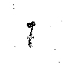 O=C(/C=C/c1cccnc1)NCCCCCCn1c2ccccc2c2ccccc21